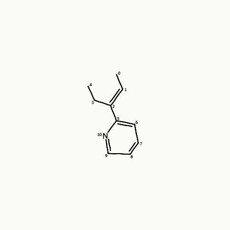 C/C=C(\CC)c1ccccn1